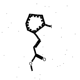 COC(=O)C=Cc1ccccc1I